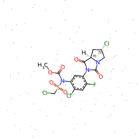 COC(=O)N(c1cc(N2C(=O)[C@H]3C[C@H](Cl)CN3C2=O)c(F)cc1Cl)S(=O)(=O)CCl